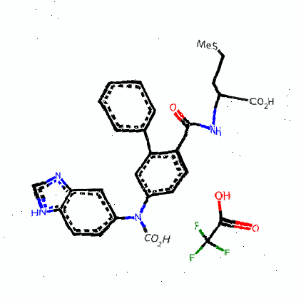 CSCCC(NC(=O)c1ccc(N(C(=O)O)c2ccc3[nH]cnc3c2)cc1-c1ccccc1)C(=O)O.O=C(O)C(F)(F)F